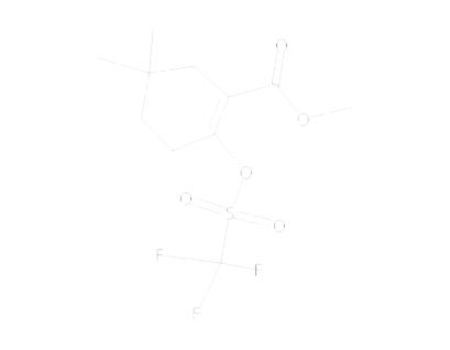 COC(=O)C1=C(OS(=O)(=O)C(F)(F)F)CCC(C)(C)C1